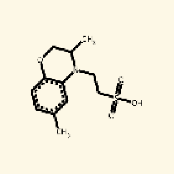 Cc1ccc2c(c1)N(CCS(=O)(=O)O)C(C)CO2